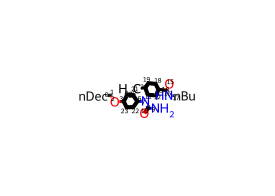 CCCCCCCCCCCOc1ccc(N(C(N)=O)c2cc(C(=O)NCCCC)ccc2C)cc1